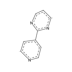 [c]1cc(-c2n[c]ccn2)ccn1